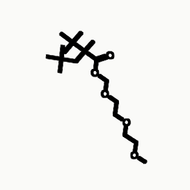 COCCOCCOCOC(=O)C(C)(CC(C)(C)C)C(C)(C)C